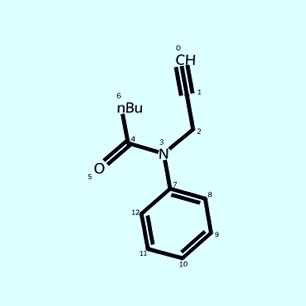 C#CCN(C(=O)CCCC)c1ccccc1